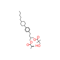 C=C(C)C(=O)OCC(CCc1ccc(C2CCC(CCCCC)CC2)cc1)COC(=O)C(C)(C)CO